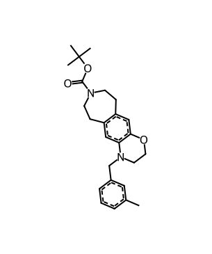 Cc1cccc(CN2CCOc3cc4c(cc32)CCN(C(=O)OC(C)(C)C)CC4)c1